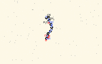 C[C@@H]1CN(c2ccc(C#N)c3ncccc23)[C@@H](C)CN1C(=O)Nc1ccc(N2CCC(CN3CCN(c4ccc5c(c4)C(=O)N([C@@H]4CCC(=O)NC4=O)C5=O)CC3)CC2)nc1